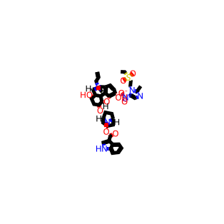 C=CCN1CC[C@]23c4c5ccc(O)c4O[C@H]2C(=O)CC[C@@]3(O)[C@H]1C5.CCS(=O)(=O)CCn1c([N+](=O)[O-])cnc1C.CN1[C@@H]2CC[C@H]1C[C@@H](OC(=O)c1c[nH]c3ccccc13)C2